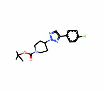 CC(C)(C)OC(=O)N1CCC(n2ncc(-c3ccc(F)cc3)n2)CC1